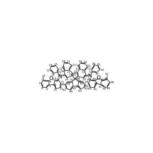 Cc1cccc2c1oc1c(N(c3ccccc3)c3cc4c(c5ccccc35)-c3c(cc(N(c5ccccc5)c5cccc6c5oc5c(C)cccc56)c5ccccc35)C43c4ccccc4-c4ccccc43)cccc12